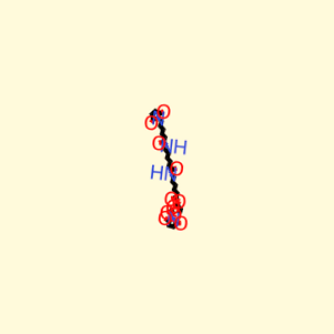 CCC(OC(=O)CCCCCNC(=O)CCCCCNC(=O)CCCCCN1C(=O)C=CC1=O)OC(=O)ON1C(=O)CCC1=O